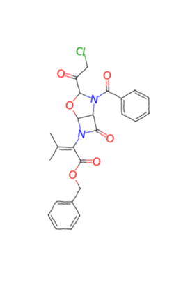 CC(C)=C(C(=O)OCc1ccccc1)N1C(=O)C2C1OC(C(=O)CCl)N2C(=O)c1ccccc1